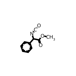 COC(=O)C(N=C=O)c1ccccc1